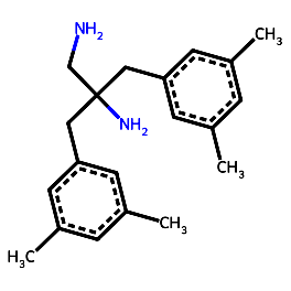 Cc1cc(C)cc(CC(N)(CN)Cc2cc(C)cc(C)c2)c1